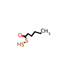 CCCCCC(=O)SS